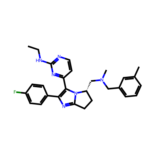 CCNc1nccc(-c2c(-c3ccc(F)cc3)nc3n2[C@H](CN(C)Cc2cccc(C)c2)CC3)n1